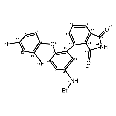 CCNc1ccc(Oc2ccc(F)cc2F)c(-c2cccc3c2C(=O)NC3=O)c1